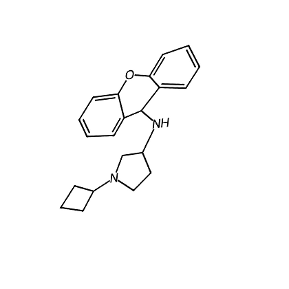 c1ccc2c(c1)Oc1ccccc1C2NC1CCN(C2CCC2)C1